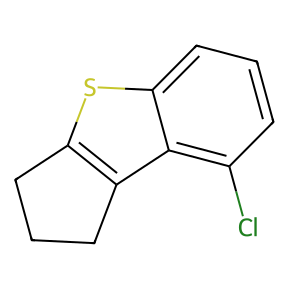 Clc1cccc2sc3c(c12)CCC3